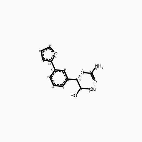 CC(C)(C)C(O)[C@@H](OC(N)=O)c1cccc(-c2ccco2)c1